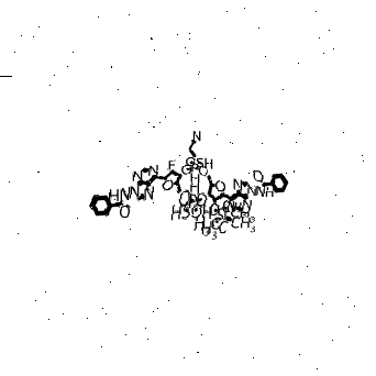 CC(C)(C)[Si](C)(C)OC1C(c2ncnc3c2ncn3NC(=O)c2ccccc2)OC2CO[PH](S)(OCCC#N)OC3C(CO[PH](O)(S)OC21)OC(c1ncnc2c1ncn2NC(=O)c1ccccc1)C3F